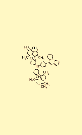 Cc1ccc2c(c1-c1cccc(N(c3ccc(-c4cc5ccccc5c5ccccc45)cc3)c3cccc(-c4c(C)ccc5c4C(C)(C)CCC5(C)C)c3)c1)C(C)(C)CCC2(C)C